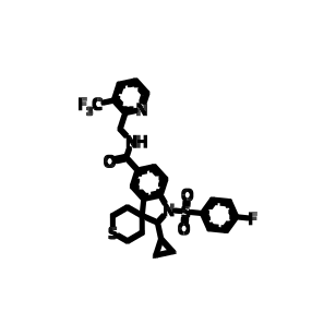 O=C(NCc1ncccc1C(F)(F)F)c1ccc2c(c1)C1(CCSCC1)C(C1CC1)N2S(=O)(=O)c1ccc(F)cc1